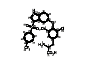 N[C@@H](Cc1cc(Cl)c(Oc2ccc3[nH]cc(S(=O)(=O)c4ccc(C(F)(F)F)cc4)c3c2)c(Cl)c1)C(=O)O